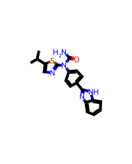 CC(C)c1cnc(N(C(N)=O)c2ccc(-c3nc4ccccc4[nH]3)cc2)s1